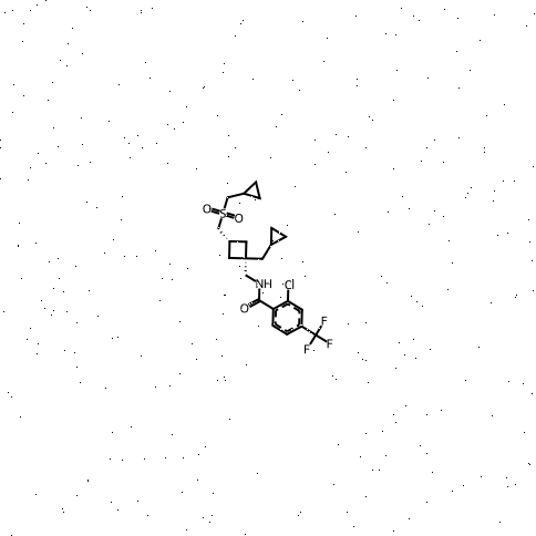 O=C(NC[C@]1(CC2CC2)C[C@H](CS(=O)(=O)CC2CC2)C1)c1ccc(C(F)(F)F)cc1Cl